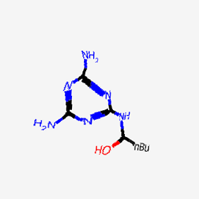 CCCCC(O)Nc1nc(N)nc(N)n1